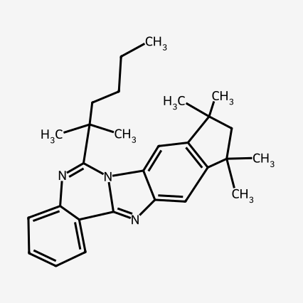 CCCCC(C)(C)c1nc2ccccc2c2nc3cc4c(cc3n12)C(C)(C)CC4(C)C